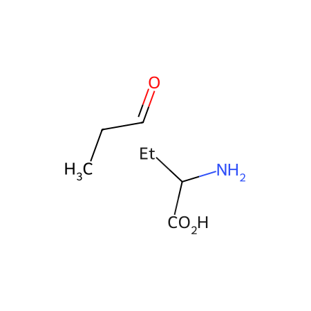 CCC(N)C(=O)O.CCC=O